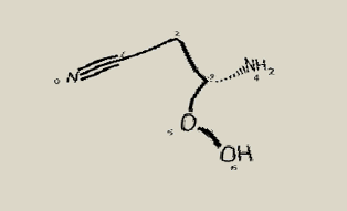 N#CC[C@H](N)OO